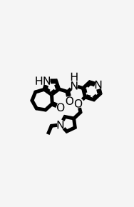 CCN1CCC(COc2ccncc2NC(=O)c2c[nH]c3c2C(=O)CCCC3)C1